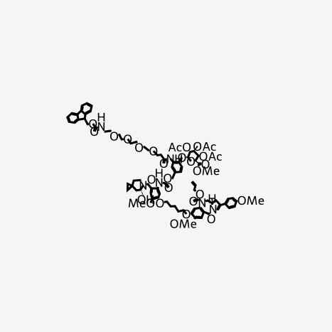 C=CCOC(=O)N1C[C@@H]2CC(c3ccc(OC)cc3)=CN2C(=O)c2cc(OC)c(OCCCCCOc3cc(NC(=O)OCc4ccc(O[C@@H]5O[C@H](C(=O)OC)[C@@H](OC(C)=O)[C@H](OC(C)=O)[C@H]5OC(C)=O)c(NC(=O)CCOCCOCCOCCOCCNC(=O)OCC5c6ccccc6-c6ccccc65)c4)c(C(=O)N4CCC5(CC5)C[C@H]4CO)cc3OC)cc21